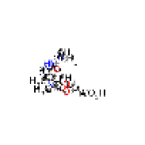 Cc1c(OC(=O)CCCCC(=O)O)ccc2c1c1cc3c(C(=O)NCCN(C)C)nccc3c(C)c1n2C